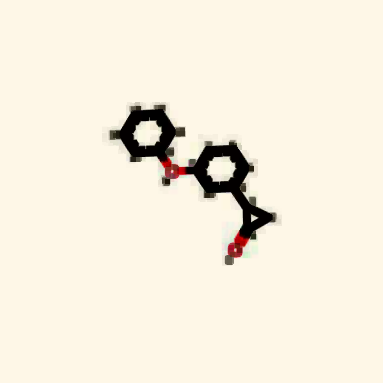 O=C1CC1c1cccc(Oc2ccccc2)c1